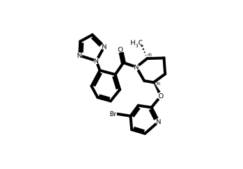 C[C@@H]1CC[C@@H](Oc2cc(Br)ccn2)CN1C(=O)c1ccccc1-n1nccn1